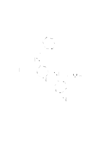 COc1cc(N2CCCCC2)ccc1Nc1cc(NC(C)(C)c2ccccc2)c(C)cn1